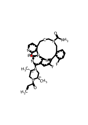 C=CC(=O)N1C[C@H](C)N(c2nc(=O)n3c4nc(c(F)cc24)-c2c(F)cccc2CN(C(N)=O)CCCc2ccnc(C(C)C)c2-3)C[C@H]1C